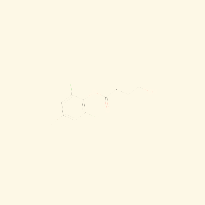 O=C(CCCO)Oc1c(Cl)cc(Br)cc1Cl